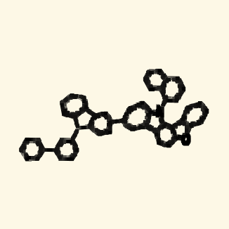 c1ccc(-c2cccc(C3c4ccccc4-c4cc(-c5ccc6c(c5)c5ccc7oc8ccccc8c7c5n6-c5cccc6ccccc56)ccc43)c2)cc1